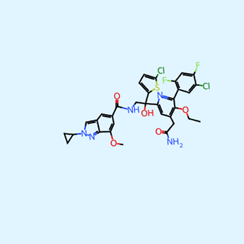 CCOc1c(CC(N)=O)cc(C(O)(CNC(=O)c2cc(OC)c3nn(C4CC4)cc3c2)c2ccc(Cl)s2)nc1-c1cc(Cl)c(F)cc1F